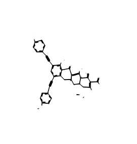 COc1ccc(C#Cc2cc(C#Cc3ccc(OC)cc3)c3c(c2O)C(=O)C2=C(O)[C@@]4(O)C(=O)C(C(N)=O)=C(O)[C@H](N(C)C)[C@H]4C[C@@H]2C3)cc1